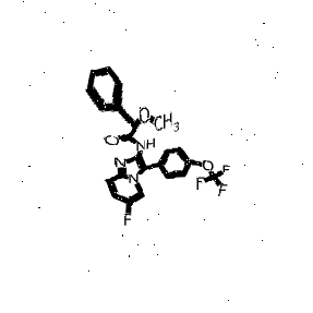 COC(C(=O)Nc1nc2ccc(F)cn2c1-c1ccc(OC(F)(F)F)cc1)c1ccccc1